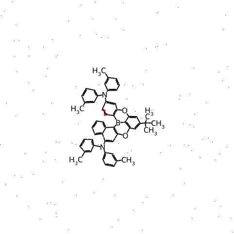 Cc1cccc(N(c2cccc(C)c2)c2cc3c(c4ccccc24)B2c4c(cc(C(C)(C)C)cc4Oc4cc(N(c5cccc(C)c5)c5cccc(C)c5)c5ccccc5c42)O3)c1